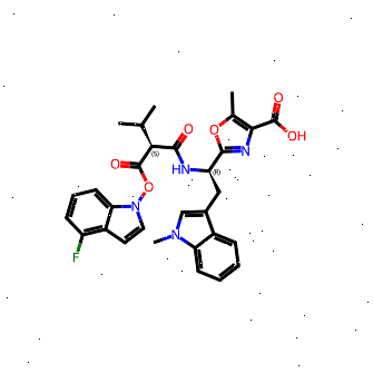 Cc1oc([C@@H](Cc2cn(C)c3ccccc23)NC(=O)[C@@H](C(=O)On2ccc3c(F)cccc32)C(C)C)nc1C(=O)O